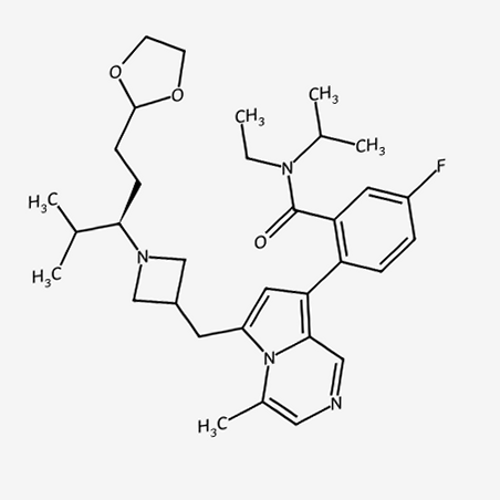 CCN(C(=O)c1cc(F)ccc1-c1cc(CC2CN([C@H](CCC3OCCO3)C(C)C)C2)n2c(C)cncc12)C(C)C